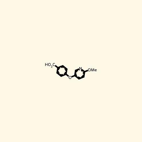 COc1ccc(Oc2ccc(C(=O)O)cc2)cn1